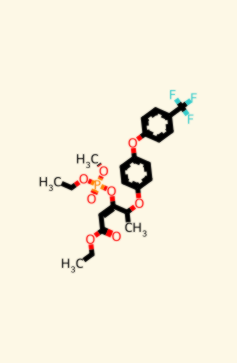 CCOC(=O)C=C(OP(=O)(OC)OCC)C(C)Oc1ccc(Oc2ccc(C(F)(F)F)cc2)cc1